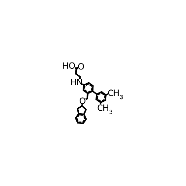 Cc1cc(C)cc(-c2ccc(NCCC(=O)O)cc2COC2Cc3ccccc3C2)c1